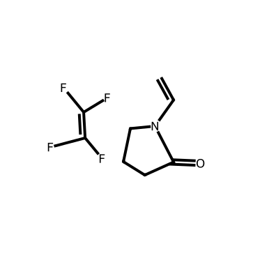 C=CN1CCCC1=O.FC(F)=C(F)F